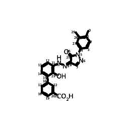 Cc1ccc(N2N=CC(=NNc3cccc(-c4cccc(C(=O)O)c4)c3O)C2=O)cc1C